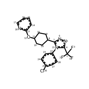 FC(F)(F)c1nnc(C2CCC(Oc3ccccn3)CC2)n1-c1ccc(Cl)cc1